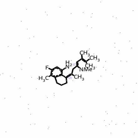 CN/C(=C\C(C)=C(C)C)C/C(C)=C1/CCCc2c(C)c(F)cc(N)c21